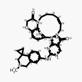 CN1Cc2cc(Nc3ncc4c(=O)n5n(c4n3)-c3ccc4c(n3)N(CCC/C=C\C5)C(=O)CO4)ccc2C2(CC2)C1